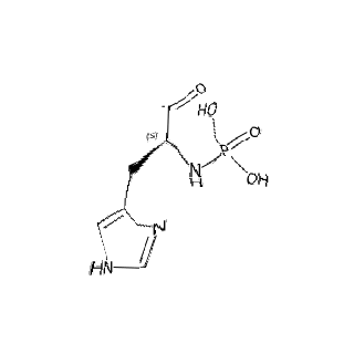 O=[C][C@H](Cc1c[nH]cn1)NP(=O)(O)O